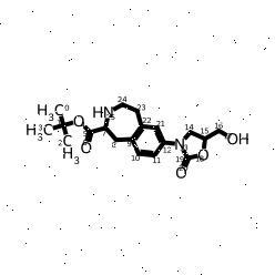 CC(C)(C)OC(=O)C1Cc2ccc(N3CC(CO)OC3=O)cc2CCN1